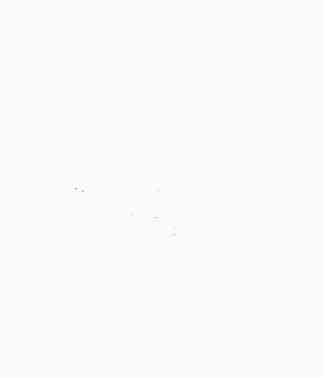 COc1ccc(F)c2c1cc(C#N)n2CCNC(=O)O